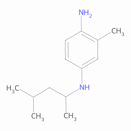 Cc1cc(NC(C)CC(C)C)ccc1N